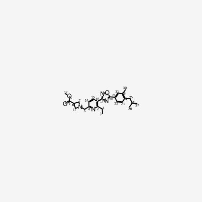 CCc1nc(CN2CC(C(=O)OC)C2)ccc1-c1noc(-c2ccc(CC(C)C)c(C)c2)n1